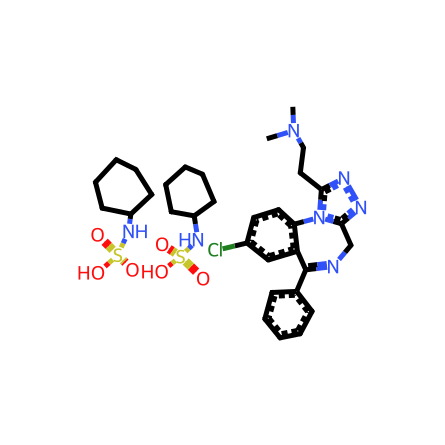 CN(C)CCc1nnc2n1-c1ccc(Cl)cc1C(c1ccccc1)=NC2.O=S(=O)(O)NC1CCCCC1.O=S(=O)(O)NC1CCCCC1